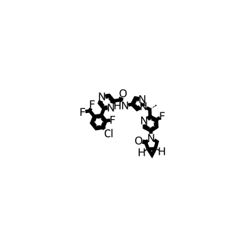 C[C@H](c1ncc(N2C[C@H]3C[C@H]3C2=O)cc1F)n1cc(NC(=O)c2cncc(-c3c(C(F)F)ccc(Cl)c3F)n2)cn1